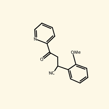 COc1ccccc1C(C#N)CC(=O)c1ccccn1